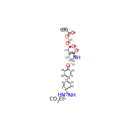 CCOC(=O)NC(=N)c1ccc(-c2ccc(OC[C@@H]3C[C@@H](CC(=O)OCOC(=O)C(C)(C)C)C(=O)N3)cc2)cc1